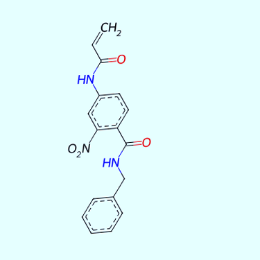 C=CC(=O)Nc1ccc(C(=O)NCc2ccccc2)c([N+](=O)[O-])c1